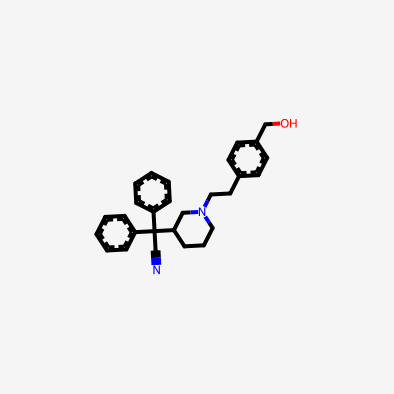 N#CC(c1ccccc1)(c1ccccc1)C1CCCN(CCc2ccc(CO)cc2)C1